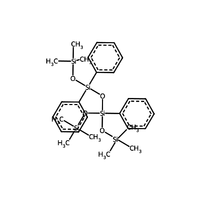 C[Si](C)(C)O[Si](O[Si](C)(C)C)(O[Si](O[Si](C)(C)C)(c1ccccc1)c1ccccc1)c1ccccc1